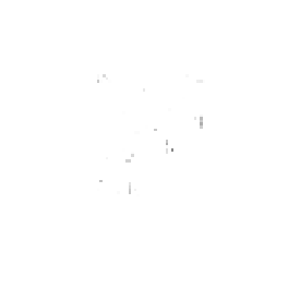 Cc1ncnc2c(OCC3(C)COC3)cc(Br)cc12